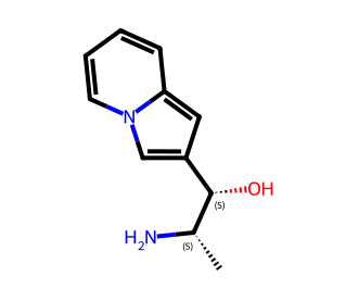 C[C@H](N)[C@@H](O)c1cc2ccccn2c1